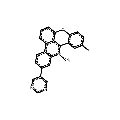 C[n+]1c2c3c(cccc3c3ccc(-c4cncnc4)cc31)Oc1ccc(F)cc1-2